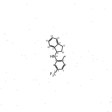 Cc1[c]cc(C(F)(F)F)cc1NC1CCc2ccccc21